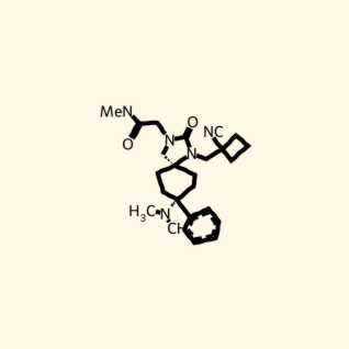 CNC(=O)CN1C[C@]2(CC[C@@](c3ccccc3)(N(C)C)CC2)N(CC2(C#N)CCC2)C1=O